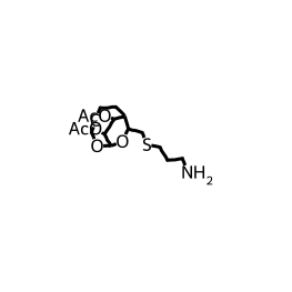 CC(=O)OC1C2OCCCCC(C(CSCCCN)O2)C1OC(C)=O